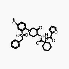 COc1ccc(N2CCC(NC(=O)C3(NC(=O)c4ccco4)CCCCC3)C(=O)C2)c(S(=O)(=O)Cc2ccccc2)c1